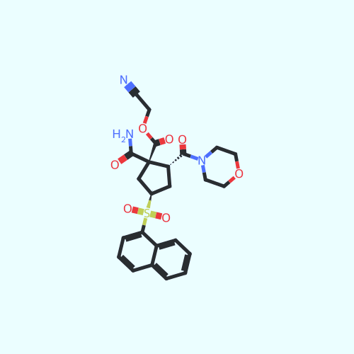 N#CCOC(=O)[C@]1(C(N)=O)C[C@H](S(=O)(=O)c2cccc3ccccc23)C[C@H]1C(=O)N1CCOCC1